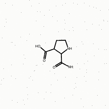 [NH]C(=O)C1NCCC1C(=O)O